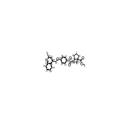 COC(=O)C1(F)CCCC1NS(=O)(=O)c1ccc(OCc2cc(C)nc3ccccc23)cc1